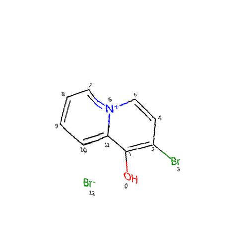 Oc1c(Br)cc[n+]2ccccc12.[Br-]